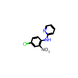 O=[N+]([O-])c1cc(Cl)ccc1Nc1ccccn1